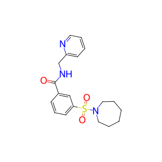 O=C(NCc1ccccn1)c1cccc(S(=O)(=O)N2CCCCCC2)c1